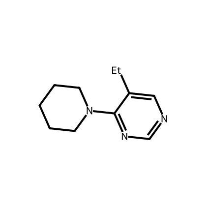 CCc1cncnc1N1CCCCC1